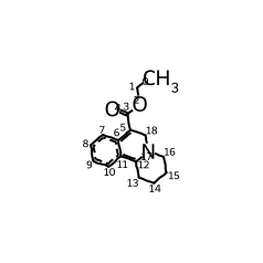 CCOC(=O)C1=c2ccccc2=C2CCCCN2C1